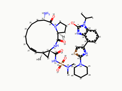 CC(C)n1c(O[C@@H]2C[C@H]3C(=O)N[C@]4(C(=O)NS(=O)(=O)N(C)C)C[C@H]4/C=C\CCCCC[C@H](N)C(=O)N3C2)nc2c(-c3csc(N4CCCCC4)n3)cccc21